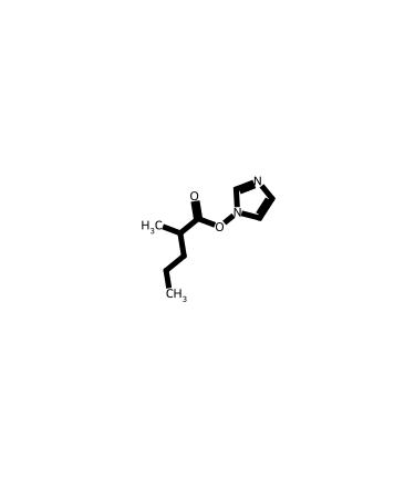 CCCC(C)C(=O)On1ccnc1